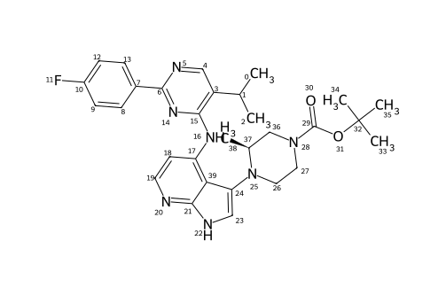 CC(C)c1cnc(-c2ccc(F)cc2)nc1Nc1ccnc2[nH]cc(N3CCN(C(=O)OC(C)(C)C)C[C@@H]3C)c12